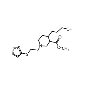 COC(=O)C1CN(CCSc2cccs2)CCC1CCCO